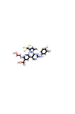 C=C(/N=C\C(=C(/N)n1nc(C(F)(F)F)cc1C)c1cnc(OCCO)c(C(=O)O)c1)Nc1ccc(F)c(Cl)c1